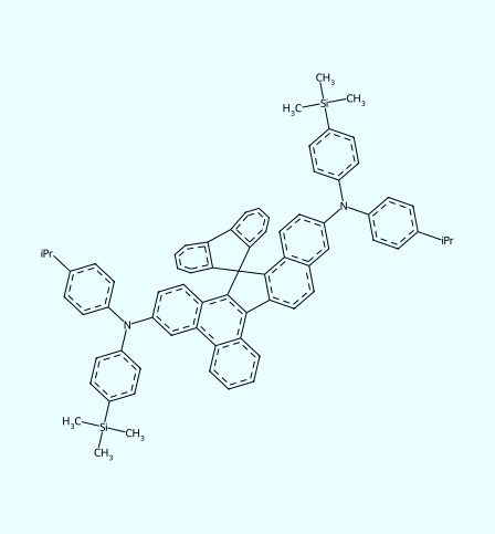 CC(C)c1ccc(N(c2ccc([Si](C)(C)C)cc2)c2ccc3c4c(ccc3c2)-c2c(c3ccc(N(c5ccc(C(C)C)cc5)c5ccc([Si](C)(C)C)cc5)cc3c3ccccc23)C42c3ccccc3-c3ccccc32)cc1